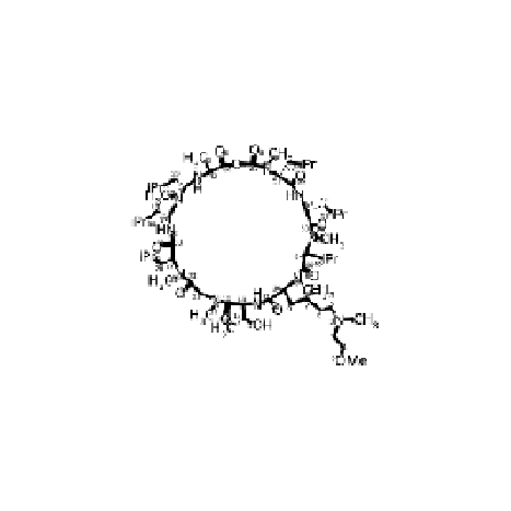 COCCN(C)CC[C@@H](C)CC1C(=O)NC([C@@H](C)O)C(=O)N(C)CC(=O)N(C)[C@@H](CC(C)C)C(=O)N[C@H](CC(C)C)N(C)[C@H](CC(C)C)NC(C)C(=O)OC(=O)N(C)[C@H](CC(C)C)C(=O)N[C@H](CC(C)C)C(=O)N(C)C(C(C)C)C(=O)N1C